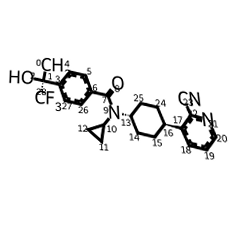 C[C@](O)(c1ccc(C(=O)N(C2CC2)[C@H]2CC[C@H](c3cccnc3C#N)CC2)cc1)C(F)(F)F